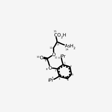 CC(C)c1cccc(C(C)C)c1OC(=O)OCC([AsH2])C(=O)O